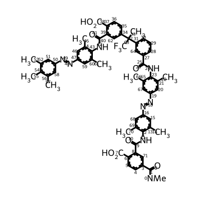 CNC(=O)c1ccc(C(=O)O)c(C(=O)Nc2c(C)cc(/N=N/c3cc(C)c(NC(=O)c4cccc(C(C)(c5ccc(C(=O)O)c(C(=O)Nc6c(C)cc(/N=N/c7cc(C)c(C)c(C)c7)cc6C)c5)C(F)(F)F)c4)c(C)c3)cc2C)c1